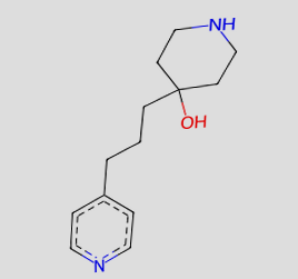 OC1(CCCc2ccncc2)CCNCC1